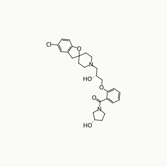 O=C(c1ccccc1OC[C@H](O)CN1CCC2(CC1)Cc1cc(Cl)ccc1O2)N1CC[C@H](O)C1